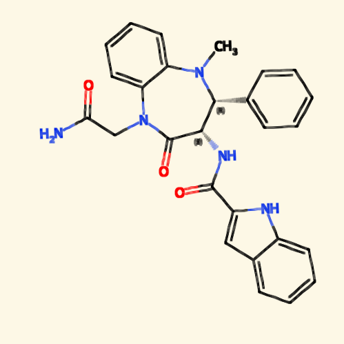 CN1c2ccccc2N(CC(N)=O)C(=O)[C@@H](NC(=O)c2cc3ccccc3[nH]2)[C@H]1c1ccccc1